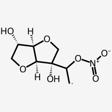 [CH2]C(O[N+](=O)[O-])[C@]1(O)CO[C@@H]2[C@@H](O)CO[C@@H]21